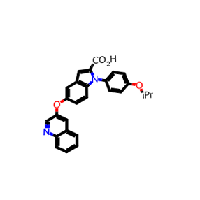 CC(C)Oc1ccc(-n2c(C(=O)O)cc3cc(Oc4cnc5ccccc5c4)ccc32)cc1